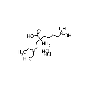 CCN(CC)CCC(N)(CCCCB(O)O)C(=O)O.Cl.Cl